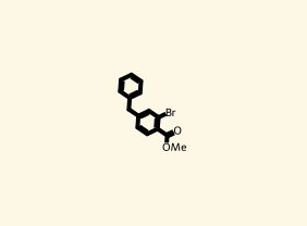 COC(=O)c1ccc(Cc2ccccc2)cc1Br